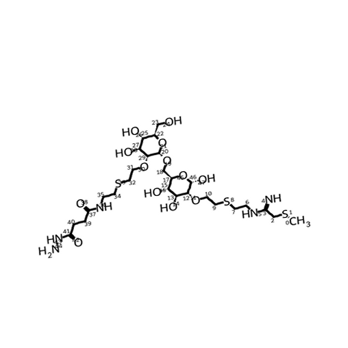 CSCC(=N)NCCSCCO[C@@H]1[C@@H](O)[C@H](O)[C@@H](CO[C@H]2O[C@H](CO)[C@@H](O)[C@H](O)[C@H]2OCCSCCNC(=O)CCC(=O)NN)O[C@@H]1O